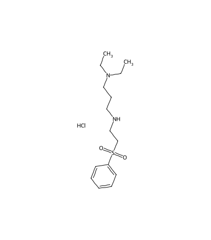 CCN(CC)CCCNCCS(=O)(=O)c1ccccc1.Cl